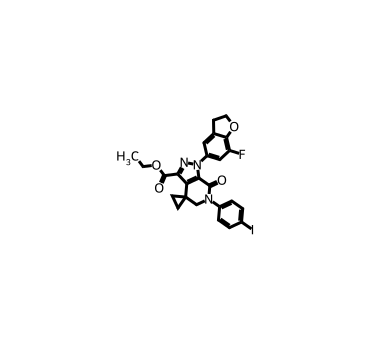 CCOC(=O)c1nn(-c2cc(F)c3c(c2)CCO3)c2c1C1(CC1)CN(c1ccc(I)cc1)C2=O